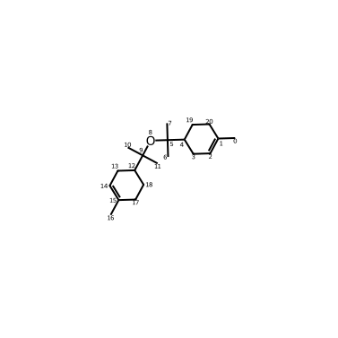 CC1=CCC(C(C)(C)OC(C)(C)C2CC=C(C)CC2)CC1